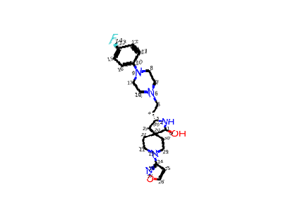 OC1N[C@@H](CCN2CCN(c3ccc(F)cc3)CC2)CC12CCN(c1ccon1)CC2